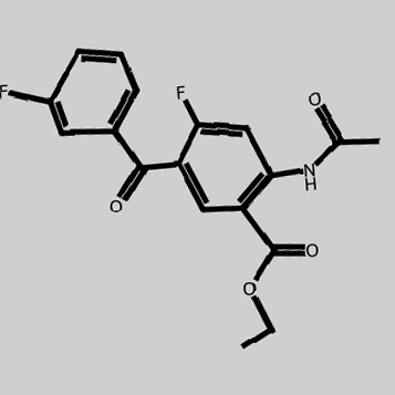 CCOC(=O)c1cc(C(=O)c2cccc(F)c2)c(F)cc1NC(C)=O